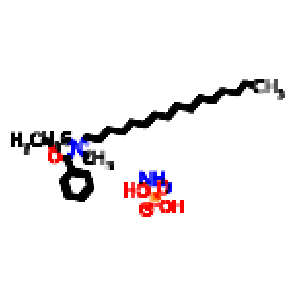 CCCCCCCCCCCCCCCC[N+](C)(C)C(OCC)c1ccccc1.N.O=P([O-])(O)O